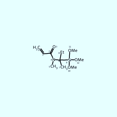 C=CC(=O)N(C)C(C)(CC)[Si](OC)(OC)OC